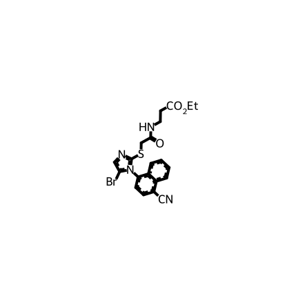 CCOC(=O)CCNC(=O)CSc1ncc(Br)n1-c1ccc(C#N)c2ccccc12